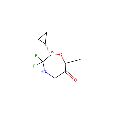 CC1O[C@@H](C2CC2)C(F)(F)NCC1=O